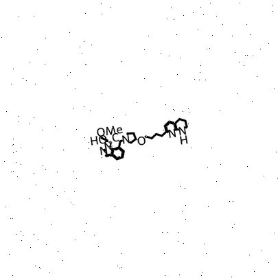 COCCn1ncc2cccc(C(C(=O)O)N3CC[C@@H](OCCCCc4ccc5c(n4)NCCC5)C3)c21